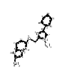 Cc1cn2nc(OCc3nc(-c4ccccc4)cn3C)ccc2n1